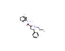 CC1(C)[C@@H]2CC[C@@]1(C)[C@@H](NC(=O)C1=NN(CCCC(F)(F)F)C(c3ccccc3)C1)C2